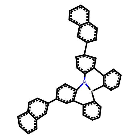 c1ccc2c(c1)B1c3ccccc3-c3cc(-c4ccc5ccccc5c4)ccc3N1c1ccc(-c3ccc4ccccc4c3)cc1-2